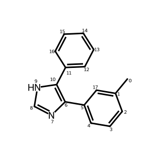 Cc1cccc(-c2nc[nH]c2-c2ccccc2)c1